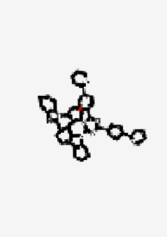 c1ccc(-c2ccc(-c3nc(-c4ccc(-c5ccccn5)cc4)nc(-n4c5ccccc5c5ccc6c(c7ccccc7n7c8ccccc8nc67)c54)n3)cc2)nc1